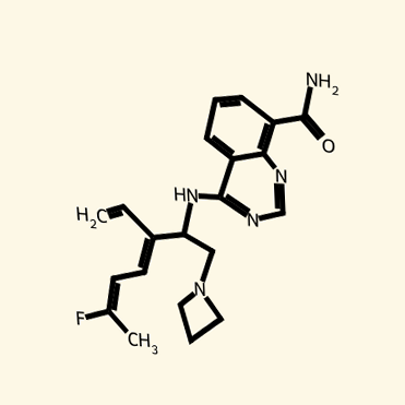 C=C/C(=C\C=C(/C)F)C(CN1CCC1)Nc1ncnc2c(C(N)=O)cccc12